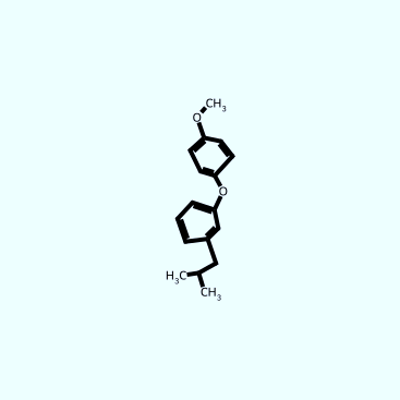 COc1ccc(Oc2cccc(CC(C)C)c2)cc1